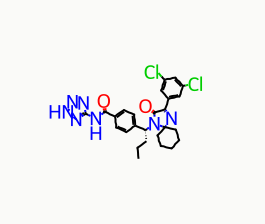 CCC[C@H](c1ccc(C(=O)Nc2nn[nH]n2)cc1)N1C(=O)C(c2cc(Cl)cc(Cl)c2)=NC12CCCCC2